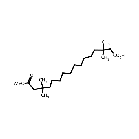 COC(=O)CC(C)(C)CCCCCCCCCCC(C)(C)CC(=O)O